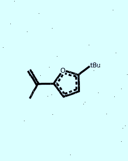 C=C(C)c1ccc(C(C)(C)C)o1